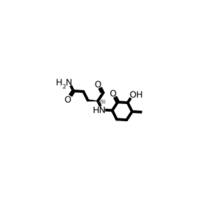 CC1CCC(N[C@H](C=O)CCC(N)=O)C(=O)C1O